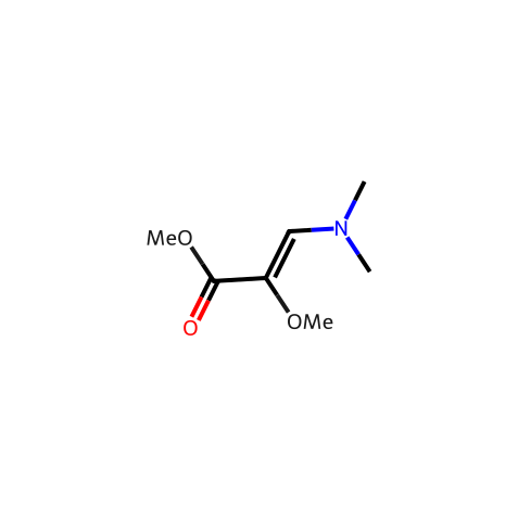 COC(=O)/C(=C/N(C)C)OC